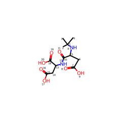 CC(C)(C)NC(CC(=O)O)C(=O)NC(CC(=O)O)C(=O)O